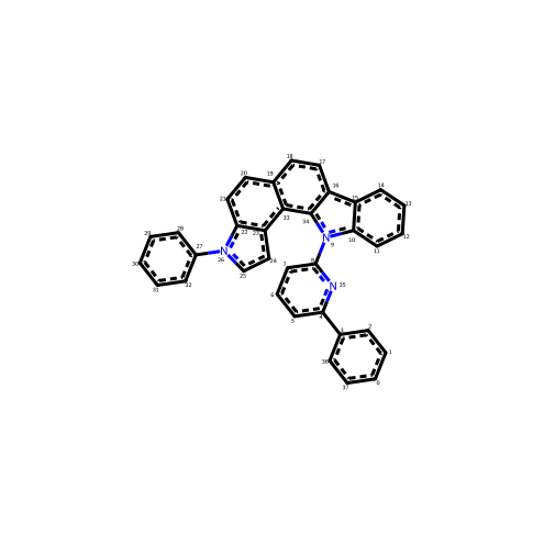 c1ccc(-c2cccc(-n3c4ccccc4c4ccc5ccc6c(ccn6-c6ccccc6)c5c43)n2)cc1